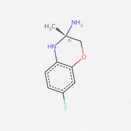 C[C@@]1(N)COc2cc(F)ccc2N1